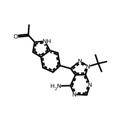 CC(=O)c1cc2ccc(-c3nn(C(C)(C)C)c4ncnc(N)c34)cc2[nH]1